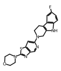 Fc1ccc2[nH]c3c(c2c1)CCN(c1cc2sc(N4CCOCC4)nc2cn1)C3